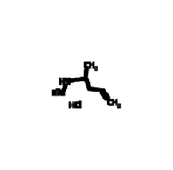 C=CCC(C)NCCCC.Cl